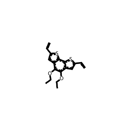 C=Cc1cc2c(OCC)c(OCC)c3cc(C=C)sc3c2s1